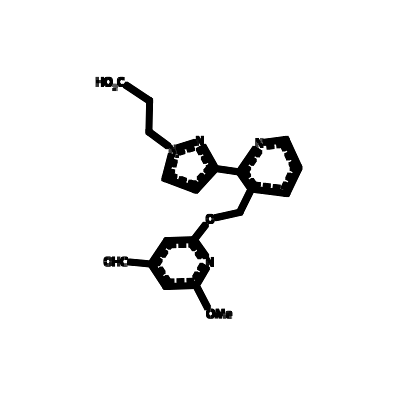 COc1cc(C=O)cc(OCc2cccnc2-c2ccn(CCC(=O)O)n2)n1